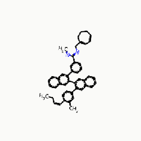 C=N/C(=N\CC1=CC=CCCC1)c1cccc(-c2cc3ccccc3cc2-c2cc3ccccc3cc2-c2ccc(/C=C\CC)c(C)c2)c1